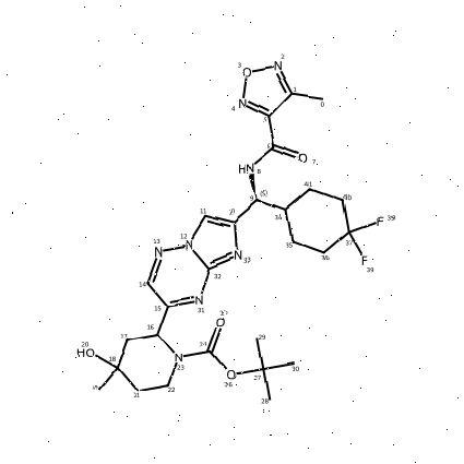 Cc1nonc1C(=O)N[C@H](c1cn2ncc(C3CC(C)(O)CCN3C(=O)OC(C)(C)C)nc2n1)C1CCC(F)(F)CC1